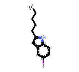 CCCCCc1cc2cc(I)ccc2[nH]1